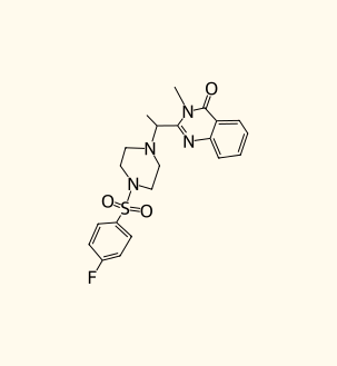 CC(c1nc2ccccc2c(=O)n1C)N1CCN(S(=O)(=O)c2ccc(F)cc2)CC1